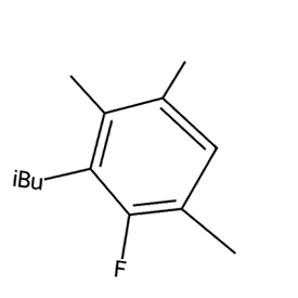 CCC(C)c1c(C)c(C)cc(C)c1F